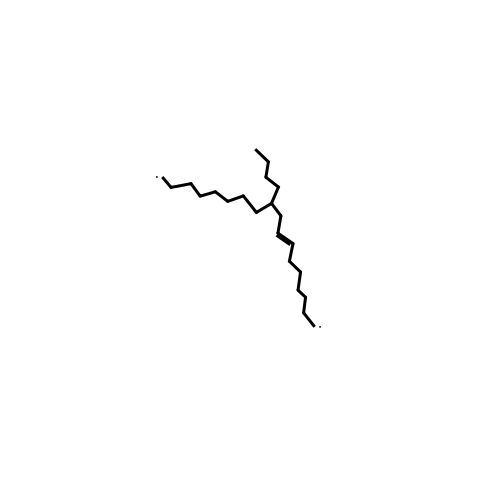 [CH2]CCCCCC=CCC(CCCC)CCCCCCC[CH2]